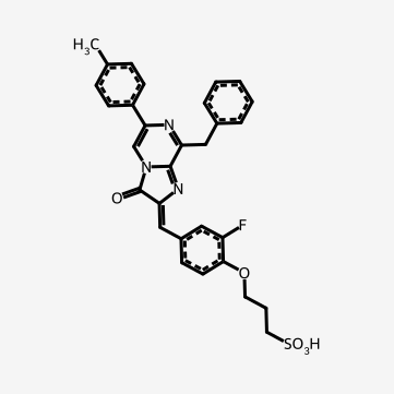 Cc1ccc(C2=CN3C(=O)/C(=C/c4ccc(OCCCS(=O)(=O)O)c(F)c4)N=C3C(Cc3ccccc3)=N2)cc1